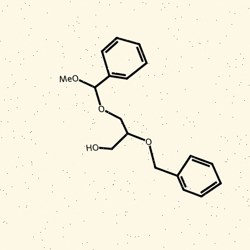 COC(OCC(CO)OCc1ccccc1)c1ccccc1